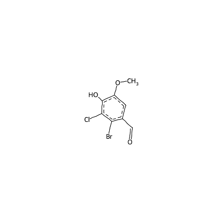 COc1cc(C=O)c(Br)c(Cl)c1O